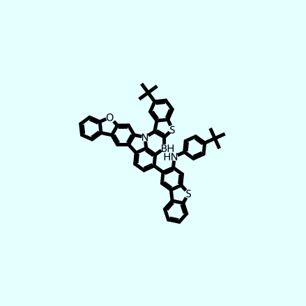 CC(C)(C)c1ccc(Nc2cc3sc4ccccc4c3cc2-c2ccc3c4cc5c(cc4n4c3c2Bc2sc3ccc(C(C)(C)C)cc3c2-4)oc2ccccc25)cc1